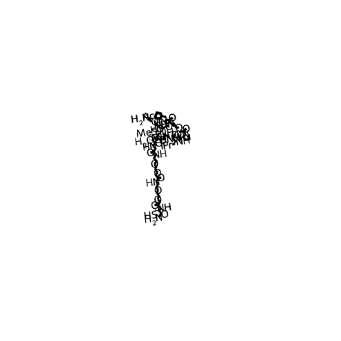 CSC[C@H](NC(=O)CNC(=O)[C@H](CC(C)C)NC(=O)[C@@H]1CCCN1C(=O)COCCNC(=O)[C@H](Cc1ccc(C(C)=O)cc1)NC(=O)COCCOCCN)C(=O)N[C@@H](C)C(=O)NCC(=O)NCCOCCOCC(=O)NCCOCCOCC(=O)N[C@H](CS)C(N)=O